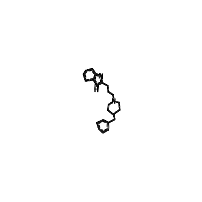 c1ccc(CC2CCN(CCCc3nc4ccccc4[nH]3)CC2)cc1